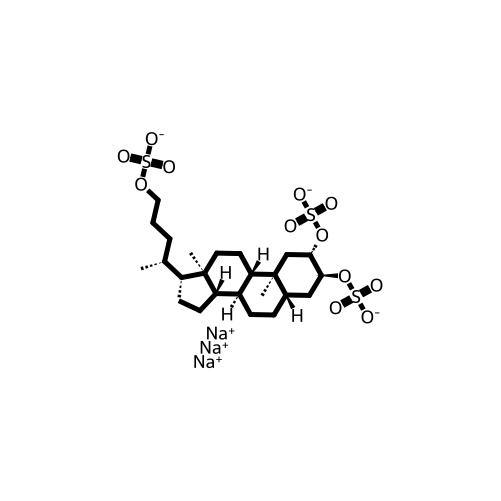 C[C@H](CCCOS(=O)(=O)[O-])[C@H]1CC[C@H]2[C@@H]3CC[C@H]4C[C@H](OS(=O)(=O)[O-])[C@@H](OS(=O)(=O)[O-])C[C@]4(C)[C@H]3CC[C@]12C.[Na+].[Na+].[Na+]